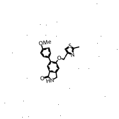 COc1ccc(-c2cc3c(cc2OCc2csc(C)n2)CNC3=O)cc1